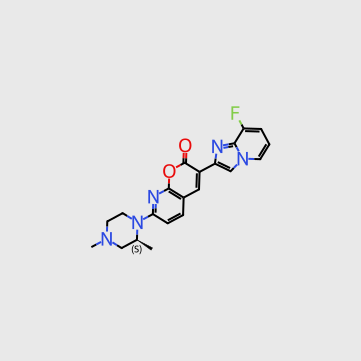 C[C@H]1CN(C)CCN1c1ccc2cc(-c3cn4cccc(F)c4n3)c(=O)oc2n1